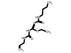 C=CCNC(=O)NC(=NC(=O)NCCCC)OCC